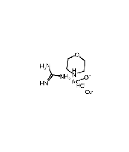 C1COCC[NH2+]1.CC(=O)[O-].Cl.N=C(N)N.[Cu]